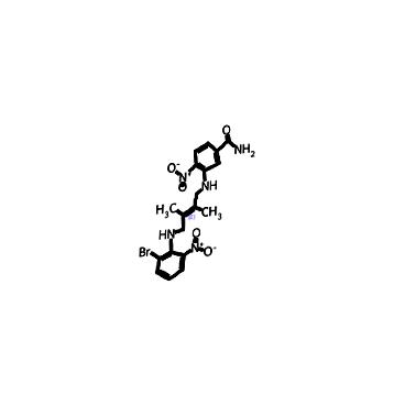 C/C(CNc1cc(C(N)=O)ccc1[N+](=O)[O-])=C(/C)CNc1c(Br)cccc1[N+](=O)[O-]